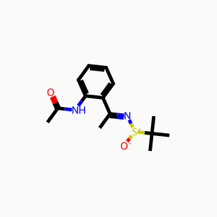 CC(=O)Nc1ccccc1C(C)=N[S+]([O-])C(C)(C)C